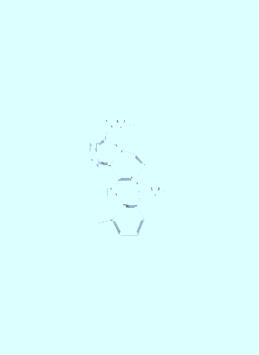 CNc1nnc2c(Nc3c(C)cccc3OC)nccn12